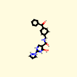 O=C(c1ccccc1)c1ccc(CNC(=O)c2cnc(-n3cccn3)nc2O)cc1